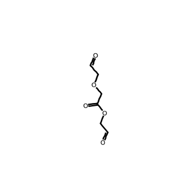 O=CCOCC(=O)OCC=O